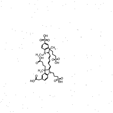 CC[N+]1=C(/C=C/C=C/C=C2/N(CCCS(=O)(=O)O)c3ccc(CC(=O)O)cc3C2(C)CCCC(=O)O)C(C)(CCCS(=O)(=O)O)c2cc(S(=O)(=O)O)ccc21